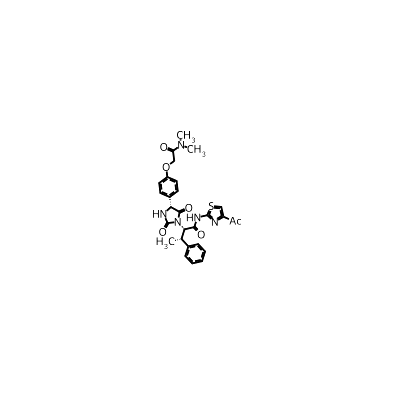 CC(=O)c1csc(NC(=O)[C@H]([C@@H](C)c2ccccc2)N2C(=O)N[C@H](c3ccc(OCC(=O)N(C)C)cc3)C2=O)n1